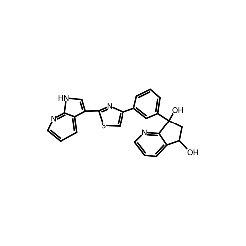 OC1CC(O)(c2cccc(-c3csc(-c4c[nH]c5ncccc45)n3)c2)c2ncccc21